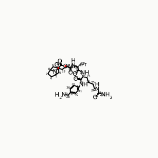 COC(=O)C1CC2CCC(C1)N2C(=O)CCC(=O)N[C@H](C(=O)N[C@@H](CCCCNC(N)=O)C(=O)Nc1ccc(CN)cc1)C(C)C